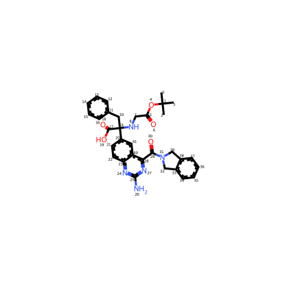 CC(C)(C)OC(=O)CNC(Cc1ccccc1)(C(=O)O)c1ccc2nc(N)nc(C(=O)N3Cc4ccccc4C3)c2c1